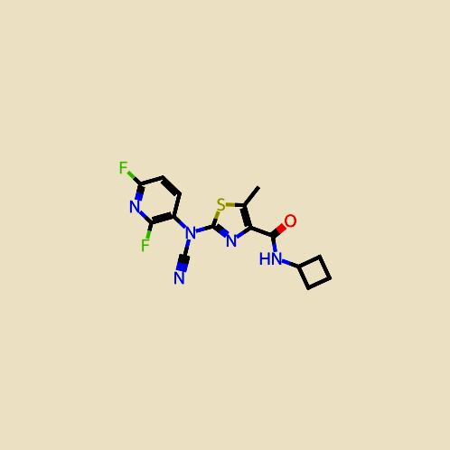 Cc1sc(N(C#N)c2ccc(F)nc2F)nc1C(=O)NC1CCC1